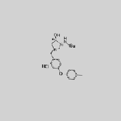 Cc1ccc(Oc2ccc(C[C@H]3C[C@@H](O)[C@H](NC(C)(C)C)C3)cc2)cc1.Cl